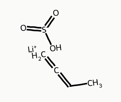 C=C=CC.O=[S-](=O)O.[Li+]